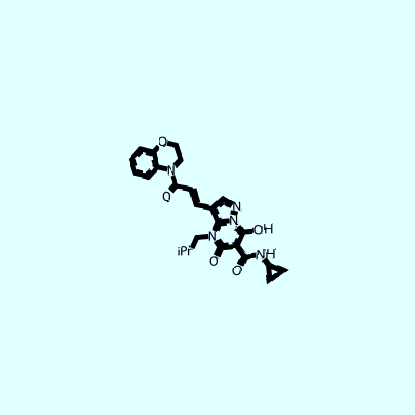 CC(C)Cn1c(=O)c(C(=O)NC2CC2)c(O)n2ncc(/C=C/C(=O)N3CCOc4ccccc43)c12